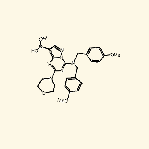 COc1ccc(CN(Cc2ccc(OC)cc2)c2nc(N3CCOCC3)nc3c(B(O)O)cnn23)cc1